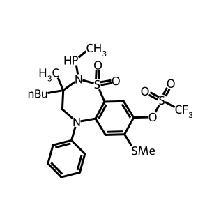 CCCCC1(C)CN(c2ccccc2)c2cc(SC)c(OS(=O)(=O)C(F)(F)F)cc2S(=O)(=O)N1PC